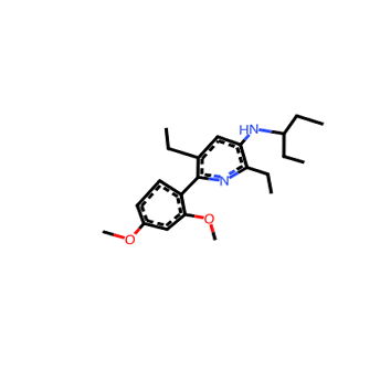 CCc1cc(NC(CC)CC)c(CC)nc1-c1ccc(OC)cc1OC